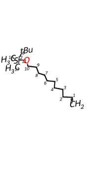 C=CCCCCCCCCCO[Si](C)(C)C(C)(C)C